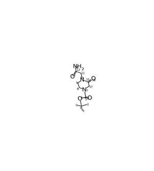 CC(C)(C)OC(=O)N1CCN(CC(N)=O)C(=O)C1